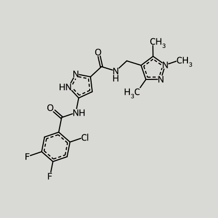 Cc1nn(C)c(C)c1CNC(=O)c1cc(NC(=O)c2cc(F)c(F)cc2Cl)[nH]n1